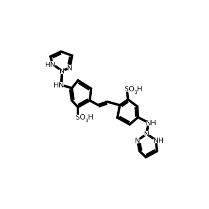 O=S(=O)(O)c1cc(NN2N=CC=CN2)ccc1C=Cc1ccc(NN2N=CC=CN2)cc1S(=O)(=O)O